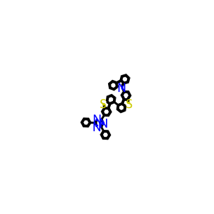 c1ccc(-c2nc(-c3ccccc3)nc(-c3ccc4c(c3)sc3cccc(-c5cccc6sc7ccc(-n8c9ccccc9c9ccccc98)cc7c56)c34)n2)cc1